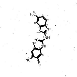 N#Cc1cc(F)c(NC(=O)Nc2nc3ccc(C(F)(F)F)cc3s2)cc1F